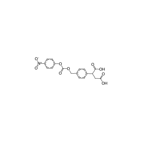 O=C(O)CC(C(=O)O)c1ccc(COC(=O)Oc2ccc([N+](=O)[O-])cc2)cc1